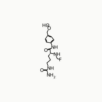 NC(=O)NCCC[C@H](NCF)C(=O)Nc1ccc(COO)cc1